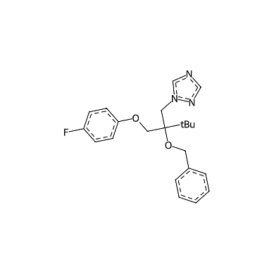 CC(C)(C)C(COc1ccc(F)cc1)(Cn1cncn1)OCc1ccccc1